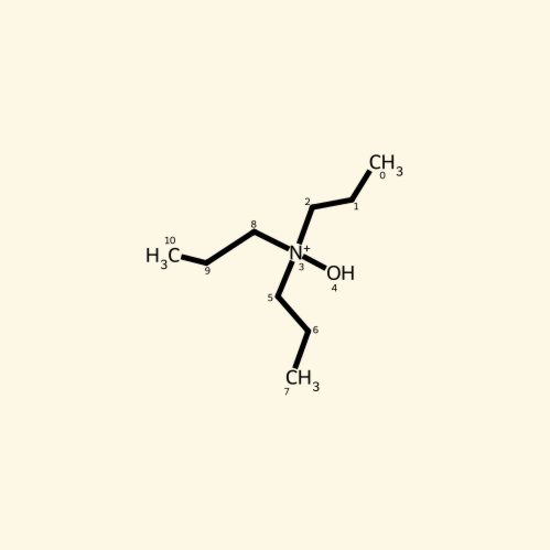 CCC[N+](O)(CCC)CCC